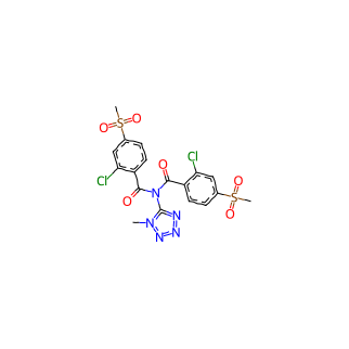 Cn1nnnc1N(C(=O)c1ccc(S(C)(=O)=O)cc1Cl)C(=O)c1ccc(S(C)(=O)=O)cc1Cl